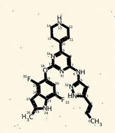 CC=Cc1cc(Nc2cc(C3=CCNCC3)nc(Oc3cc(F)c4[nH]c(C)cc4c3F)n2)n[nH]1